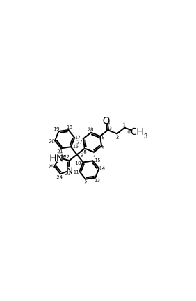 CCCC(=O)c1ccc(C(c2ccccc2)(c2ccccc2)c2ncc[nH]2)cc1